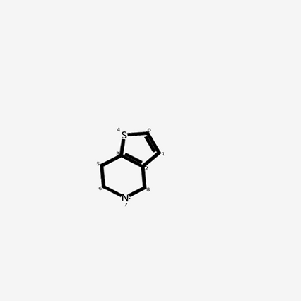 c1cc2c(s1)CC[N]C2